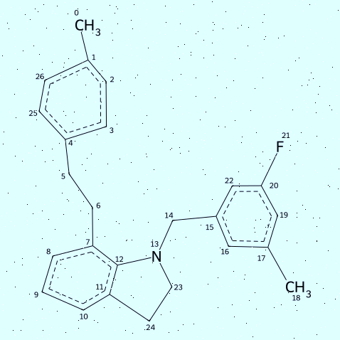 Cc1ccc(CCc2cccc3c2N(Cc2cc(C)cc(F)c2)CC3)cc1